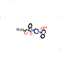 CNC(=O)C[C@]1(C)C(=O)N(C2CCN([C@@H]3c4ccccc4CC[C@H]3O)CC2)c2ccccc21